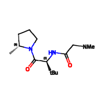 CNCC(=O)N[C@H](C(=O)N1CCC[C@H]1C)C(C)(C)C